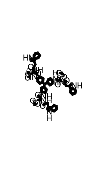 C[C@](CS(C)(=O)=O)(NC(=O)Cc1c[nH]c2ccccc12)C(=O)Nc1ccc(C(c2ccc(NC(=O)[C@@](C)(CS(C)(=O)=O)NC(=O)Cc3c[nH]c4ccccc34)cc2)c2ccc(NC(=O)[C@@](C)(CS(C)(=O)=O)NC(=O)Cc3c[nH]c4ccccc34)cc2)cc1